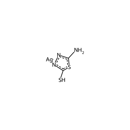 Nc1nnc(S)s1.[Ag]